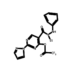 CCN(Nc1ccccc1)C(=O)c1cnc(-n2cccn2)nc1OC(=O)C(F)(F)F